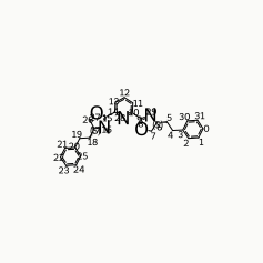 c1ccc(CC[C@H]2COC(c3cccc(C4=N[C@@H](CCc5ccccc5)CO4)n3)=N2)cc1